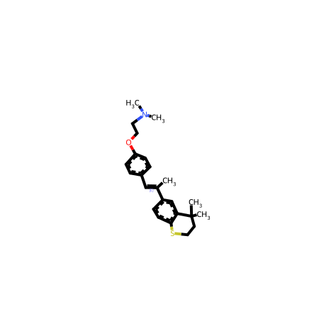 C/C(=C\c1ccc(OCCN(C)C)cc1)c1ccc2c(c1)C(C)(C)CCS2